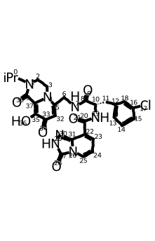 CC(C)N1CCn2c(CNC(=O)[C@H](Cc3cccc(Cl)c3)NC(=O)c3cccn4c(=O)[nH]nc34)cc(=O)c(O)c2C1=O